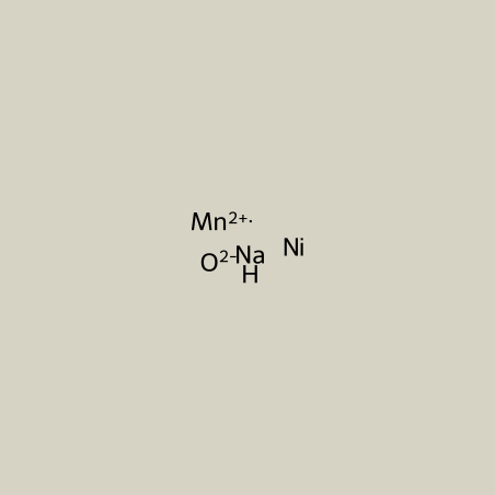 [Mn+2].[NaH].[Ni].[O-2]